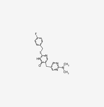 CN(C)c1ncc(Cc2cnc(SCc3ccc(F)cc3)[nH]c2=O)cn1